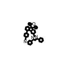 N#Cc1ccc(-c2cccc3c2C2C=C(c4nc(-c5ccccc5)cc(-c5ccccc5)n4)C=CC2C32c3ccccc3Oc3ccccc32)cc1